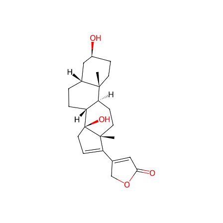 C[C@]12CC[C@H](O)C[C@H]1CC[C@@H]1[C@@H]2CC[C@]2(C)C(C3=CC(=O)OC3)=CC[C@]12O